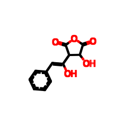 O=C1OC(=O)C(C(O)=Cc2ccccc2)C1O